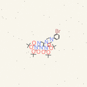 CC(C)(C)OC(=O)N(C(=O)OC(C)(C)C)c1ncc(N2CCN(c3cccc(Br)c3)CC2)c(N(C(=O)OC(C)(C)C)C(=O)OC(C)(C)C)n1